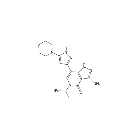 CC(C)C(C)n1cc(-c2cc(N3CCCCC3)n(C)n2)c2[nH]nc(N)c2c1=O